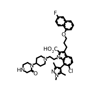 Cc1nn(C)c(C)c1-c1c(Cl)ccc2c(CCCOc3cccc4cc(F)ccc34)c(C(=O)O)n(CCN3CCC(N4CCNCC4=O)CC3)c12